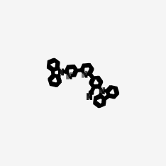 N#Cc1cc(-c2cccc(-c3ccc(-n4c5ccccc5c5ccccc54)nc3)n2)ccc1-n1c2ccccc2c2ccccc21